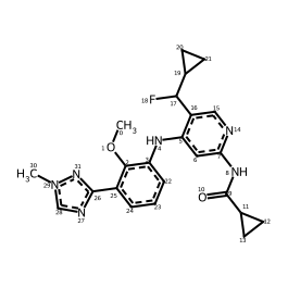 COc1c(Nc2cc(NC(=O)C3CC3)ncc2C(F)C2CC2)cccc1-c1ncn(C)n1